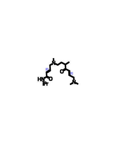 CC(C)NC(=O)/C=C/CN(C)CCC(C)C(=O)/C=C/CN(C)C